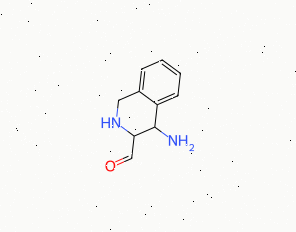 NC1c2ccccc2CNC1C=O